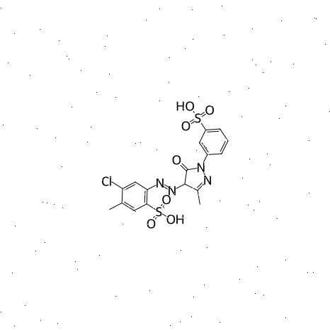 CC1=NN(c2cccc(S(=O)(=O)O)c2)C(=O)C1N=Nc1cc(Cl)c(C)cc1S(=O)(=O)O